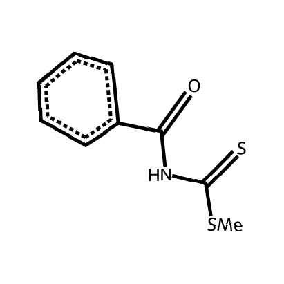 CSC(=S)NC(=O)c1ccccc1